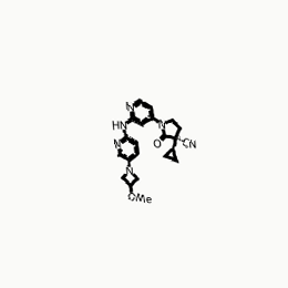 COC1CN(c2ccc(Nc3cc(N4CC[C@@](C#N)(C5CC5)C4=O)ccn3)nc2)C1